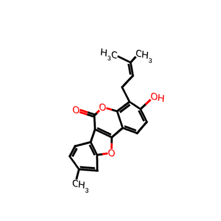 CC(C)=CCc1c(O)ccc2c1oc(=O)c1c3ccc(C)cc3oc21